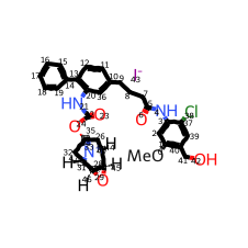 COc1cc(NC(=O)CCCc2ccc(-c3ccccc3)c(NC(=O)O[C@@H]3C[C@@H]4[C@H]5O[C@H]5[C@H](C3)[N+]4(C)C)c2)c(Cl)cc1CO.[I-]